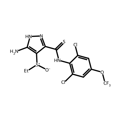 CC[S+]([O-])c1c(C(=S)Nc2c(Cl)cc(OC(F)(F)F)cc2Cl)n[nH]c1N